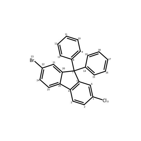 Clc1ccc2c(c1)C(c1ccccc1)(c1ccccc1)c1cc(Br)ccc1-2